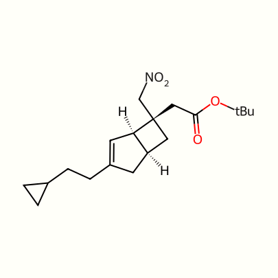 CC(C)(C)OC(=O)C[C@@]1(C[N+](=O)[O-])C[C@H]2CC(CCC3CC3)=C[C@H]21